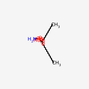 CCCCCCCCCCCCCCCCCCOC[C@H](COP(=O)(O)OCCN)OC(=O)CCCCCCCCCCCCCCC